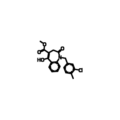 COC(=O)C1=C(O)c2ccccc2N(Cc2ccc(C)c(Cl)c2)C(=O)C1